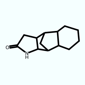 O=C1CC2C3CC(C4CCCCC34)C2N1